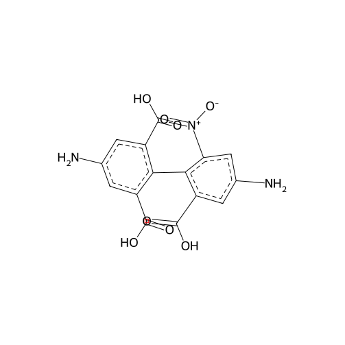 Nc1cc(C(=O)O)c(-c2c(C(=O)O)cc(N)cc2[N+](=O)[O-])c(C(=O)O)c1